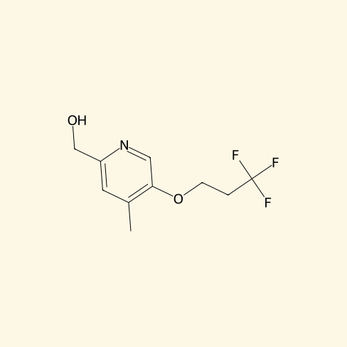 Cc1cc(CO)ncc1OCCC(F)(F)F